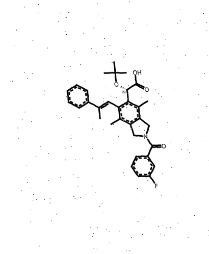 CC(=Cc1c(C)c2c(c(C)c1[C@H](OC(C)(C)C)C(=O)O)CN(C(=O)c1cccc(F)c1)C2)c1ccccc1